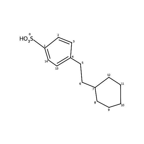 O=S(=O)(O)c1ccc(CCC2CCCCC2)cc1